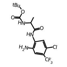 CC(NC(=O)OC(C)(C)C)C(=O)Nc1cc(Cl)c(C(F)(F)F)cc1N